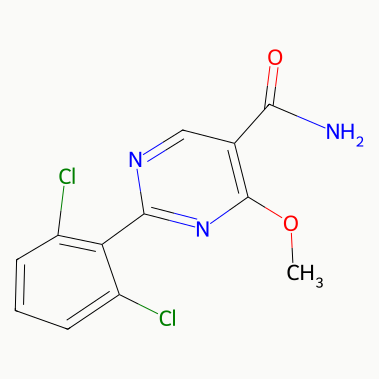 COc1nc(-c2c(Cl)cccc2Cl)ncc1C(N)=O